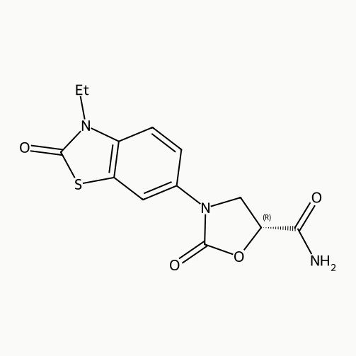 CCn1c(=O)sc2cc(N3C[C@H](C(N)=O)OC3=O)ccc21